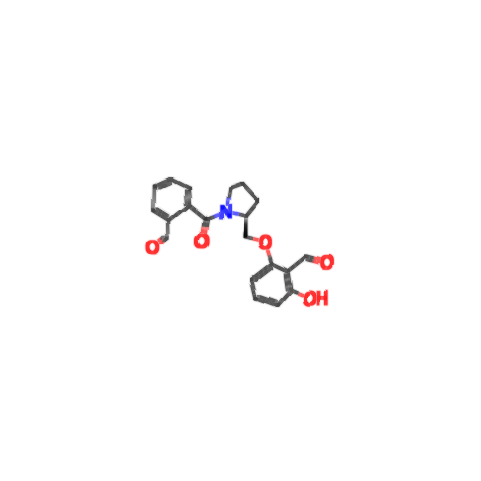 O=Cc1ccccc1C(=O)N1CCC[C@H]1COc1cccc(O)c1C=O